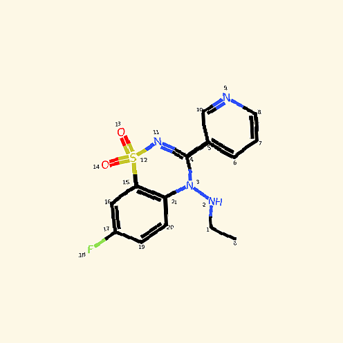 CCNN1C(c2cccnc2)=NS(=O)(=O)c2cc(F)ccc21